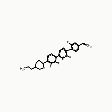 C=Cc1ccc(-c2ccc(-c3ccc(C4CCC(CCC)CO4)c(F)c3F)c(F)c2F)c(F)c1